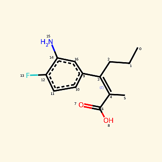 CCC/C(=C(\C)C(=O)O)c1ccc(F)c(N)c1